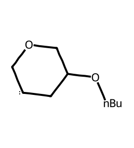 CCCCOC1C[C]COC1